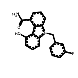 NC(=O)c1cccc2c1c1c(O)cccc1n2Cc1cccc(F)c1